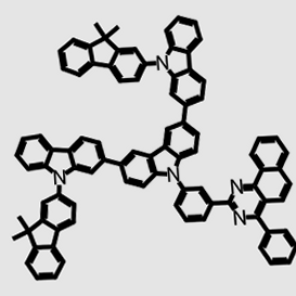 CC1(C)c2ccccc2-c2ccc(-n3c4ccccc4c4ccc(-c5ccc6c(c5)c5cc(-c7ccc8c9ccccc9n(-c9ccc%10c(c9)C(C)(C)c9ccccc9-%10)c8c7)ccc5n6-c5cccc(-c6nc(-c7ccccc7)c7ccc8ccccc8c7n6)c5)cc43)cc21